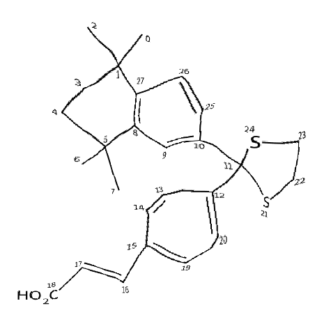 CC1(C)CCC(C)(C)c2cc(C3(c4ccc(C=CC(=O)O)cc4)SCCS3)ccc21